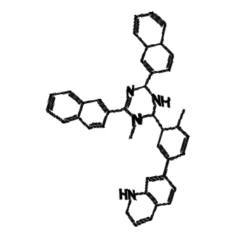 CC1C=CC(c2ccc3c(c2)NCC=C3)=CC1C1NC(C2=CC3C=CC=CC3C=C2)N=C(c2ccc3ccccc3c2)N1C